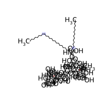 CCCCCCCC/C=C\CCCCCCCCCCCCCC(=O)N[C@@H](CO[C@@H]1OC(CO)[C@@H](O[C@@H]2OC(CO)[C@H](O[C@@H]3OC(CO)[C@H](O)[C@H](O[C@@H]4OC(CO)[C@H](O)[C@H](O[C@]5(C(=O)O)CC(O)[C@@H](NC(=O)CO)C([C@H](O)[C@H](O)CO)O5)C4O)C3NC(C)=O)[C@H](O[C@]3(C(=O)O)CC(O)[C@@H](NC(C)=O)C([C@H](O)[C@H](O)CO)O3)C2O)[C@H](O)C1O)[C@H](O)/C=C/CCCCCCCCCCCCC